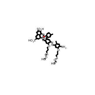 Cc1ccc(S(=O)(=O)Oc2cc(S(=O)(=O)O)cc3cc(S(=O)(=O)O)cc(N=Nc4cc(OCCCSOOO)c(N=Nc5cc(OCCCSOOO)c(N)cc5C)cc4C)c23)cc1